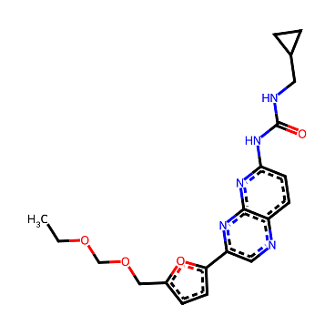 CCOCOCc1ccc(-c2cnc3ccc(NC(=O)NCC4CC4)nc3n2)o1